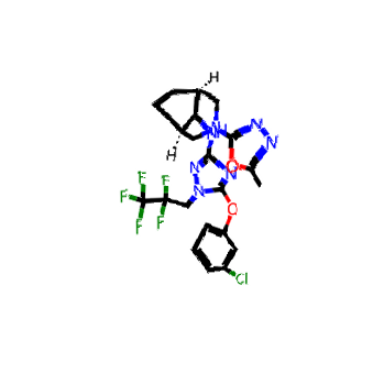 Cc1nnc(N2C[C@H]3CC[C@@H](C2)C3Nc2nc(Oc3cccc(Cl)c3)n(CC(F)(F)C(F)(F)F)n2)o1